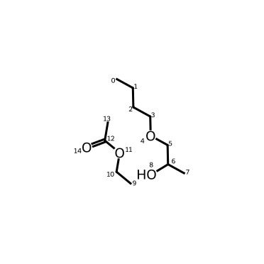 CCCCOCC(C)O.CCOC(C)=O